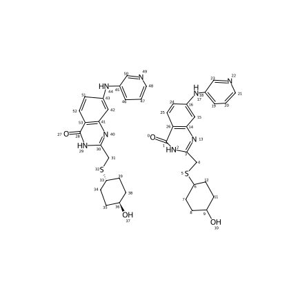 O=c1[nH]c(CSC2CCC(O)CC2)nc2cc(Nc3cccnc3)ccc12.O=c1[nH]c(CS[C@H]2CC[C@H](O)CC2)nc2cc(Nc3cccnc3)ccc12